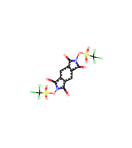 O=c1c2cc3c(=O)n(OS(=O)(=O)C(Cl)(Cl)Cl)c(=O)c3cc2c(=O)n1OS(=O)(=O)C(Cl)(Cl)Cl